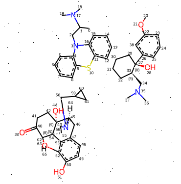 CC(CN1c2ccccc2Sc2ccccc21)N(C)C.COc1cccc([C@@]2(O)CCCC[C@@H]2CN(C)C)c1.O=C1CC[C@@]2(O)[C@H]3Cc4ccc(O)c5c4[C@@]2(CCN3CC2CC2)[C@H]1O5